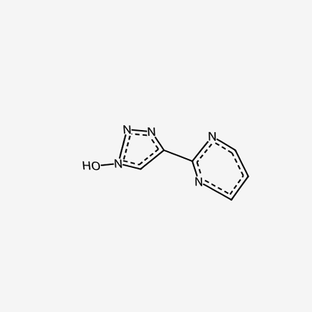 On1cc(-c2ncccn2)nn1